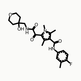 Cc1cc(NC(=O)c2c(C)c(C(=O)C(=O)NCC3(O)CCOCC3)n(C)c2C)ccc1F